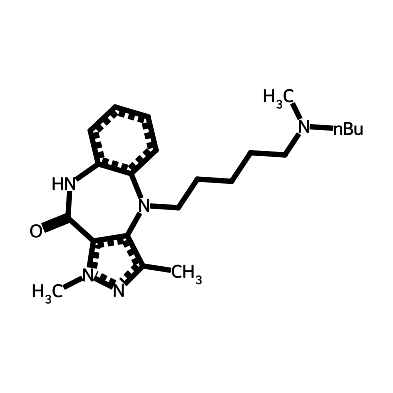 CCCCN(C)CCCCCN1c2ccccc2NC(=O)c2c1c(C)nn2C